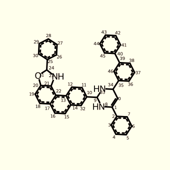 C1=C(c2ccccc2)NC(c2ccc3c(ccc4ccc5c(c43)NC(c3ccccc3)O5)c2)NC1c1cccc(-c2ccccc2)c1